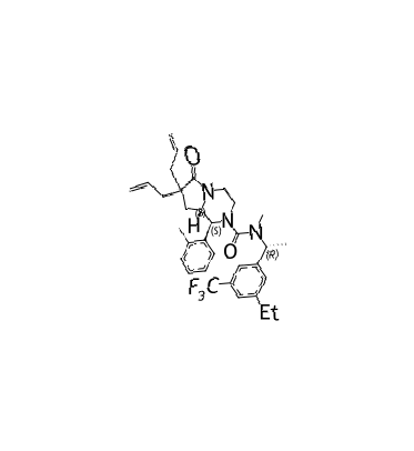 C=CCC1(CC=C)C[C@H]2[C@H](c3ccccc3C)N(C(=O)N(C)[C@H](C)c3cc(CC)cc(C(F)(F)F)c3)CCN2C1=O